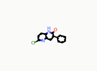 O=c1[nH]c2ccc(Cl)nc2cc1-c1ccccc1